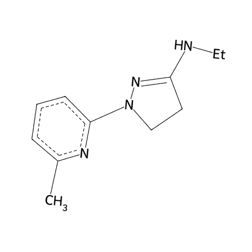 CCNC1=NN(c2cccc(C)n2)CC1